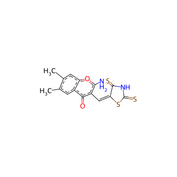 Cc1cc2oc(N)c(/C=C3/SC(=S)NC3=S)c(=O)c2cc1C